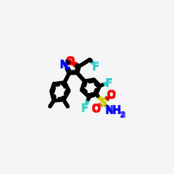 Cc1ccc(-c2noc(CF)c2-c2cc(F)c(S(N)(=O)=O)c(F)c2)cc1C